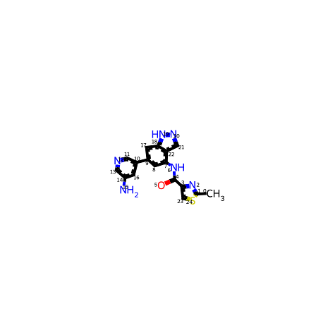 Cc1nc(C(=O)Nc2cc(-c3cncc(N)c3)cc3[nH]ncc23)cs1